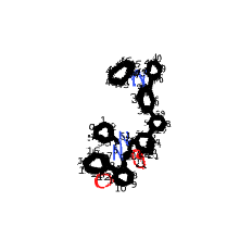 c1ccc(-c2nc(-c3cccc4oc5ccccc5c34)c3oc4ccc(-c5cccc(-c6ccc7c(c6)c6ccccc6n7-c6ccccc6)c5)cc4c3n2)cc1